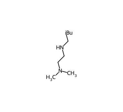 CCC(C)CNCCN(C)C